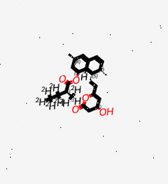 [2H]C([2H])([2H])[C@H](C(=O)O[C@H]1C[C@@H](C)C=C2C=C[C@H](C)[C@H](CCC3C[C@@H](O)CC(=O)O3)[C@H]21)C([2H])([2H])C([2H])([2H])[2H]